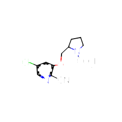 N#Cc1ncc(Cl)cc1OCC1CCCN1C(=O)O